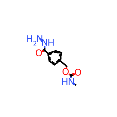 CNC(=O)OCc1ccc(C(=O)NN)cc1